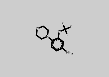 Nc1ccc(N2CCOCC2)c(OC(F)(F)F)c1